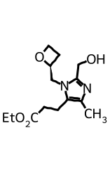 CCOC(=O)CCc1c(C)nc(CO)n1C[C@@H]1CCO1